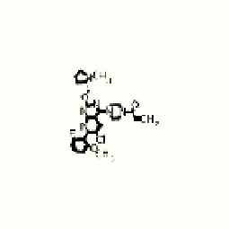 C=CC(=O)N1CCN(c2nc(OC[C@@H]3CCCN3C)nc3nc(-c4c(F)cccc4OC)c(Cl)cc23)CC1